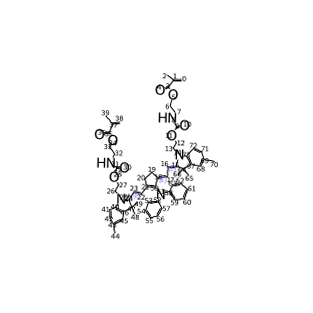 C=C(C)C(=O)OCCNC(=O)OCCN1/C(=C/C=C2\CCC(/C=C/C3=[N+](CCOC(=O)NCCOC(=O)C(=C)C)c4ccc(C)cc4C3(C)C)=C2N(c2ccccc2)c2ccccc2)C(C)(C)c2cc(C)ccc21